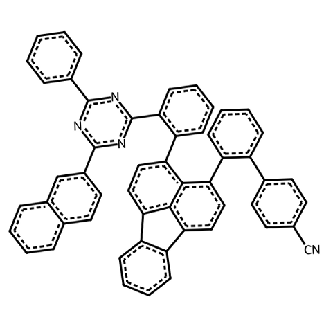 N#Cc1ccc(-c2ccccc2-c2ccc3c4c(ccc(-c5ccccc5-c5nc(-c6ccccc6)nc(-c6ccc7ccccc7c6)n5)c24)-c2ccccc2-3)cc1